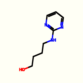 OCCCCNc1ncccn1